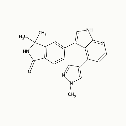 Cn1cc(-c2ccnc3[nH]cc(-c4ccc5c(c4)C(C)(C)NC5=O)c23)cn1